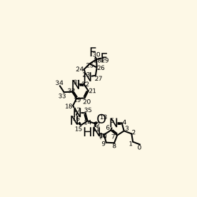 CCCC1C=NC2=C1CC[C@H]2NC(=O)c1cnn(Cc2ccc(N3CC4C(C3)C4(F)F)nc2CC)c1